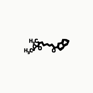 CCOC(=O)C(C)CCCCCC(=O)c1ccc2ccccc2c1